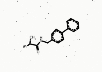 CC(C)C(C)C(=O)NCc1ccc(-c2ccccc2)cc1